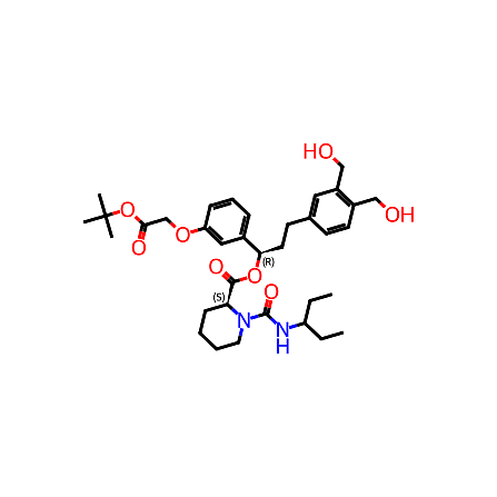 CCC(CC)NC(=O)N1CCCC[C@H]1C(=O)O[C@H](CCc1ccc(CO)c(CO)c1)c1cccc(OCC(=O)OC(C)(C)C)c1